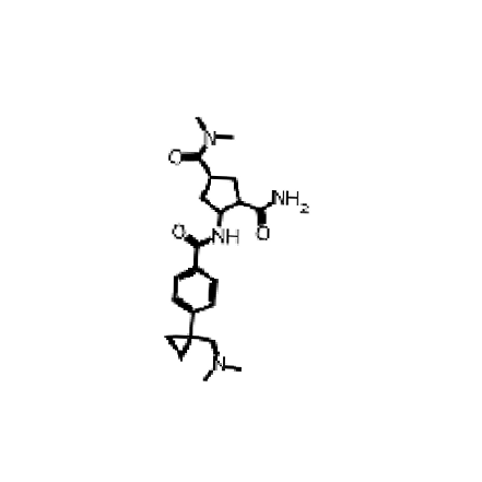 CN(C)CC1(c2ccc(C(=O)NC3CC(C(=O)N(C)C)CC3C(N)=O)cc2)CC1